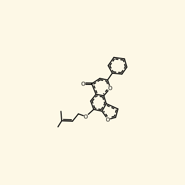 CC(C)=CCOc1cc2c(=O)cc(-c3ccccc3)oc2c2ccoc12